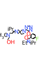 CCN(C(=O)c1cc(F)ccc1Oc1nncnc1N1CCC2(C1)CN([C@H](CCN(C)CCO)C(C)C)C2)C(C)C